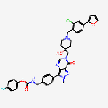 Cn1nc2c(=O)n(CC3(O)CCN(Cc4ccc(-c5ccco5)cc4Cl)CC3)cnc2c1-c1ccc(CNC(=O)Oc2ccc(F)cc2)cc1